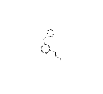 [O]CC=Cc1cccc(Cn2ccnc2)c1